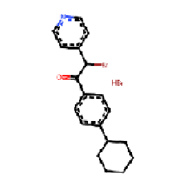 Br.O=C(c1ccc(C2CCCCC2)cc1)C(Br)c1ccncc1